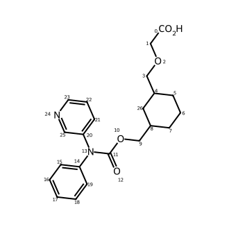 O=C(O)COCC1CCCC(COC(=O)N(c2ccccc2)c2cccnc2)C1